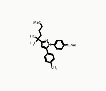 COCCCC(C)(O)c1cc(-c2ccc(C)cc2)n(-c2ccc(OC)cc2)n1